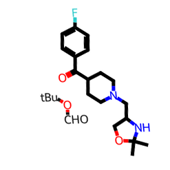 CC(C)(C)OC=O.CC1(C)NC(CN2CCC(C(=O)c3ccc(F)cc3)CC2)CO1